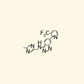 Cc1cnc(CNc2ncnc3cc(-c4ncccc4C(F)(F)F)ccc23)cn1